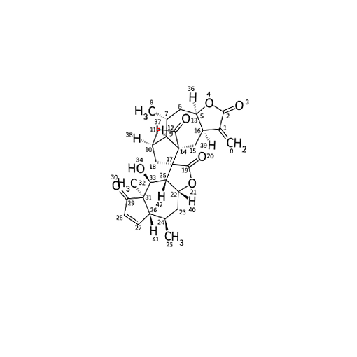 C=C1C(=O)O[C@@H]2C[C@@H](C)[C@@H]3[C@@H]4CC(=O)[C@@]3(C[C@H]12)[C@@]1(C4)C(=O)O[C@@H]2C[C@@H](C)[C@@H]3C=CC(=O)[C@@]3(C)[C@@H](O)[C@@H]21